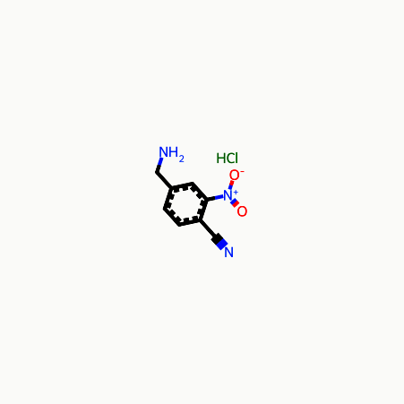 Cl.N#Cc1ccc(CN)cc1[N+](=O)[O-]